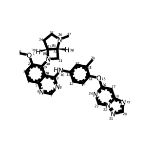 COc1ccc2ncnc(Nc3ccc(Oc4cc5ncnn5cn4)c(C)c3)c2c1N1C[C@@H]2[C@H]1CCN2C